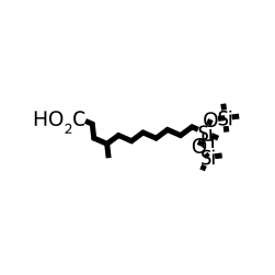 CC(CCCCCCC[Si](C)(O[SiH](C)C)O[Si](C)(C)C)CCC(=O)O